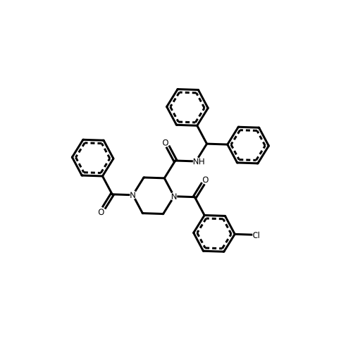 O=C(NC(c1ccccc1)c1ccccc1)C1CN(C(=O)c2ccccc2)CCN1C(=O)c1cccc(Cl)c1